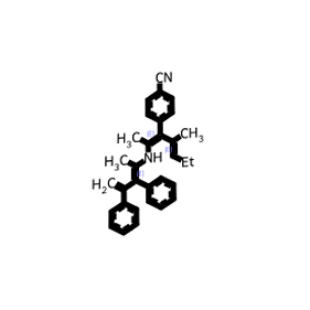 C=C(/C(=C(\C)N/C(C)=C(\C(C)=C\CC)c1ccc(C#N)cc1)c1ccccc1)c1ccccc1